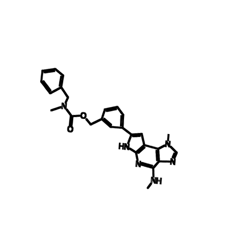 CNc1nc2[nH]c(-c3cccc(COC(=O)N(C)Cc4ccccc4)c3)cc2c2c1ncn2C